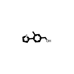 Cc1cc(CO)ccc1-c1cccs1